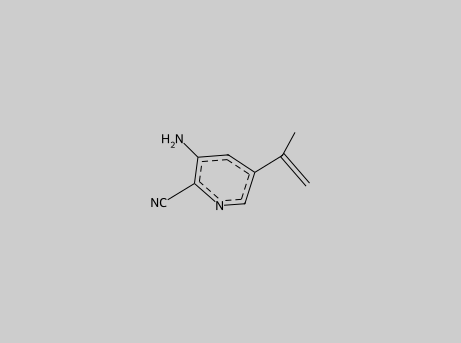 C=C(C)c1cnc(C#N)c(N)c1